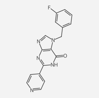 O=c1[nH]c(-c2ccncc2)nc2ncn(Cc3cccc(F)c3)c12